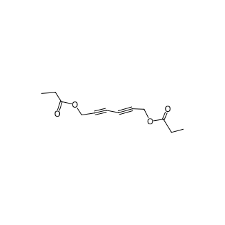 CCC(=O)OCC#CC#CCOC(=O)CC